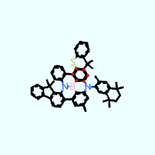 Cc1cc2c3c(c1)N(c1cc4c(cc1C)C(C)(C)CCC4(C)C)c1cc4c(cc1B3N(c1ccccc1-c1ccccc1)c1c-2ccc2c1C(C)(C)c1ccccc1-2)Sc1ccccc1C4(C)C